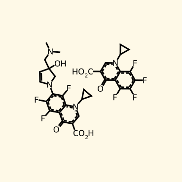 CN(C)CC1(O)C=CN(c2c(F)c(F)c3c(=O)c(C(=O)O)cn(C4CC4)c3c2F)C1.O=C(O)c1cn(C2CC2)c2c(F)c(F)c(F)c(F)c2c1=O